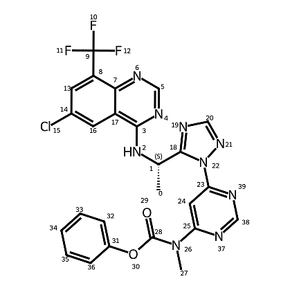 C[C@H](Nc1ncnc2c(C(F)(F)F)cc(Cl)cc12)c1ncnn1-c1cc(N(C)C(=O)Oc2ccccc2)ncn1